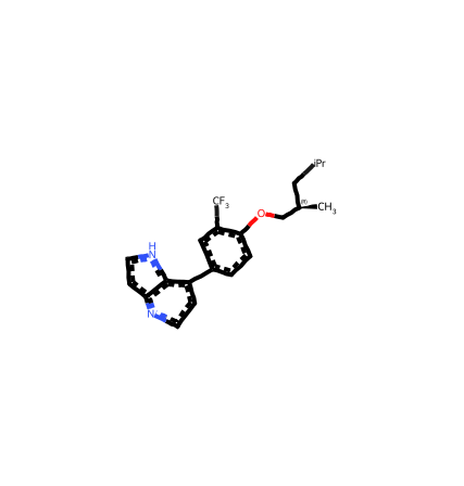 CC(C)C[C@@H](C)COc1ccc(-c2ccnc3cc[nH]c23)cc1C(F)(F)F